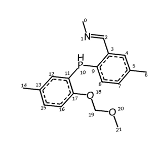 C/N=C/c1cc(C)ccc1Pc1cc(C)ccc1OCOC